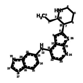 CC[C@H]1NCCC[C@H]1c1cc2c(Nc3ccc4scnc4c3)ccnc2s1